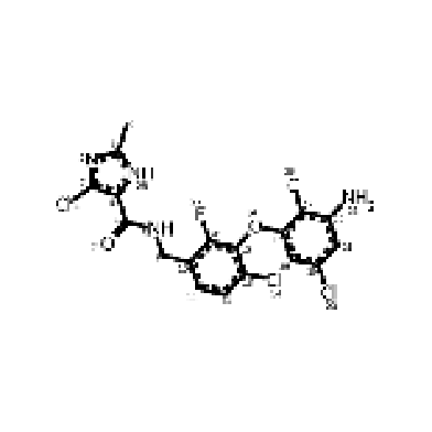 Cc1nc(Cl)c(C(=O)NCc2ccc(Cl)c(Oc3cc(Cl)cc(N)c3Cl)c2F)[nH]1